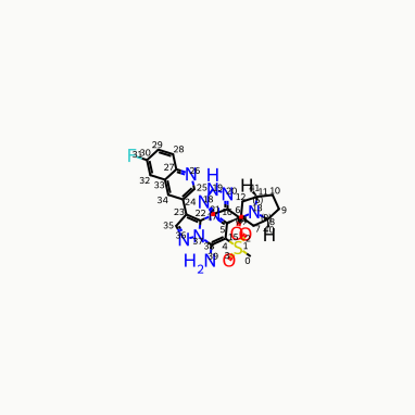 CS(=O)(=O)c1c([C@@H]2C[C@H]3CC[C@@H](C2)N3C(=O)c2cn[nH]n2)nc2c(-c3cnc4ccc(F)cc4c3)cnn2c1N